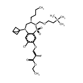 CCCC[C@@H]1CN(C23CC(C2)C3)c2cc(Cl)c(O/C=C(\F)C(=O)OCC)cc2S(=O)(=O)N1COCC[Si](C)(C)C